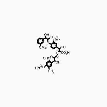 COc1cccc(C(O)C(Oc2ccc(C(O)C(OOC(OC=O)C(O)c3ccc(OOO)c(C)c3)C(=O)O)cc2OC)C(=O)O)c1